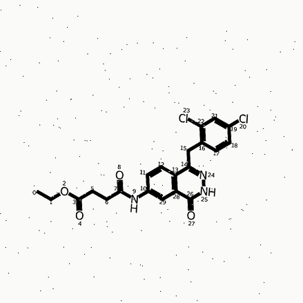 CCOC(=O)CCC(=O)Nc1ccc2c(Cc3ccc(Cl)cc3Cl)n[nH]c(=O)c2c1